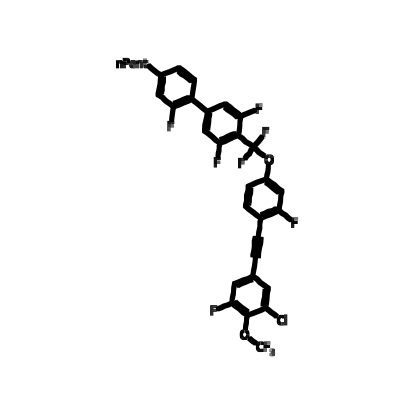 CCCCCc1ccc(-c2cc(F)c(C(F)(F)Oc3ccc(C#Cc4cc(F)c(OC(F)(F)F)c(Cl)c4)c(F)c3)c(F)c2)c(F)c1